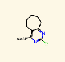 CNc1nc(Cl)nc2c1CCCCC2